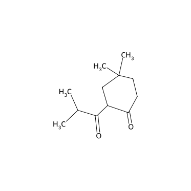 CC(C)C(=O)C1CC(C)(C)CCC1=O